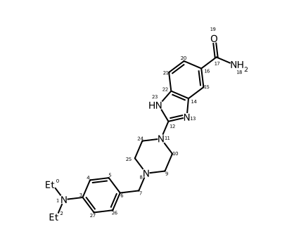 CCN(CC)c1ccc(CN2CCN(c3nc4cc(C(N)=O)ccc4[nH]3)CC2)cc1